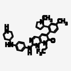 Cc1ccc(-c2cc3cnc(Nc4ccc(NC5CCNCC5)cc4)nc3n(CC(F)(F)F)c2=O)c(C2CCCN2C)c1